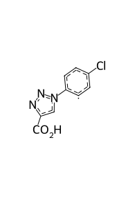 O=C(O)c1cn(-c2[c]cc(Cl)cc2)nn1